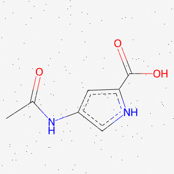 CC(=O)Nc1c[nH]c(C(=O)O)c1